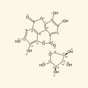 O=c1oc2c(O)c(O)cc3c(=O)oc4c(O)c(O)cc1c4c23.OC1OC[C@@H](O)[C@H](O)[C@H]1O